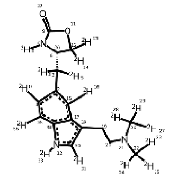 [2H]c1c(C([2H])([2H])[C@@H]2N([2H])C(=O)OC2([2H])[2H])c([2H])c2c(CCN(C([2H])([2H])[2H])C([2H])([2H])[2H])c([2H])n([2H])c2c1[2H]